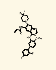 C=CC(=O)Nc1cc2c(Nc3cc(-c4ccc(F)cc4F)ccc3OC)ncnc2cc1N1CCC(F)(F)CC1